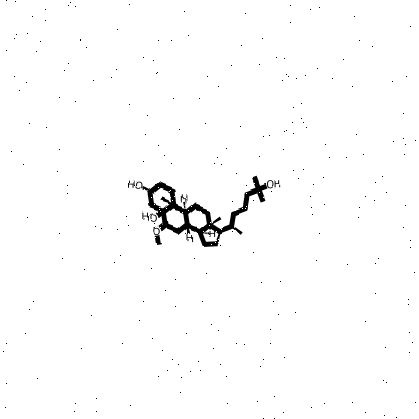 COC1C[C@H]2[C@@H]3CC[C@H]([C@H](C)CCCC(C)(C)O)[C@@]3(C)CC[C@@H]2[C@@]2(C)CC[C@H](O)CC12O